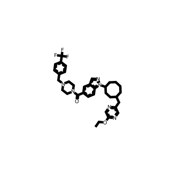 CCOc1cnc(CC2CCCCC(n3ncc4cc(C(=O)N5CCN(Cc6ccc(C(F)(F)F)cc6)CC5)ccc43)CC2)cn1